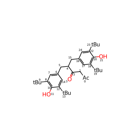 CC(=O)CC(=O)C(Cc1cc(C(C)(C)C)c(O)c(C(C)(C)C)c1)Cc1cc(C(C)(C)C)c(O)c(C(C)(C)C)c1